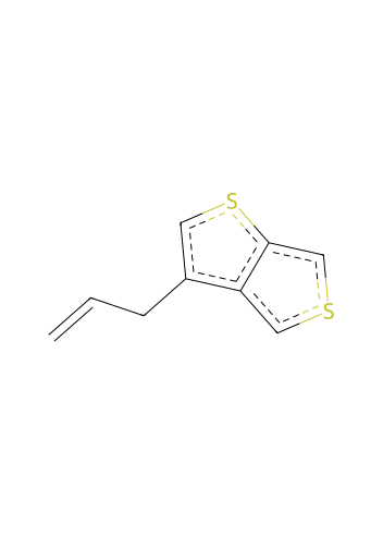 C=CCc1csc2cscc12